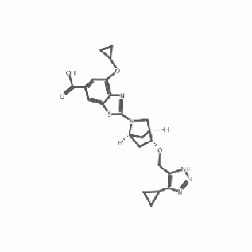 O=C(O)c1cc(OC2CC2)c2nc(N3C[C@@H]4C[C@H]3C[C@H]4OCc3[nH]nnc3C3CC3)sc2c1